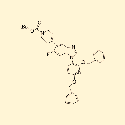 CC(C)(C)OC(=O)N1CC=C(c2cc3ncn(-c4ccc(OCc5ccccc5)nc4OCc4ccccc4)c3cc2F)CC1